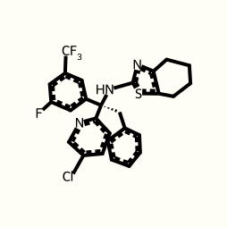 Fc1cc(C(F)(F)F)cc([C@@](Cc2ccccc2)(Nc2nc3c(s2)CCCC3)c2ccc(Cl)cn2)c1